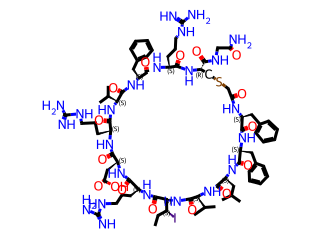 CC[C@H](I)[C@@H]1NC(=O)[C@H](C(C)C)NC(=O)[C@H](CC(C)C)NC(=O)[C@H](Cc2ccccc2)NC(=O)[C@H](Cc2ccccc2)NC(=O)CSC[C@@H](C(=O)NCC(N)=O)NC(=O)[C@H](CCCNC(=N)N)NC(=O)[C@H](Cc2ccccc2)NC(=O)[C@H](C(C)C)NC(=O)[C@H](CCCNC(=N)N)NC(=O)[C@H](CC(=O)O)NC(=O)[C@H](CCCNC(=N)N)NC1=O